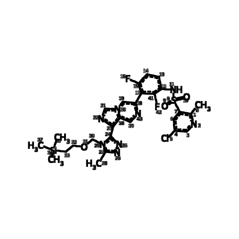 Cc1ncc(Cl)cc1S(=O)(=O)Nc1ccc(F)c(-c2cn3cnc(-c4nnc(C)n4COCC[Si](C)(C)C)c3cn2)c1F